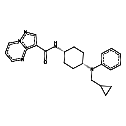 O=C(N[C@H]1CC[C@@H](N(CC2CC2)c2ccccc2)CC1)c1cnn2cccnc12